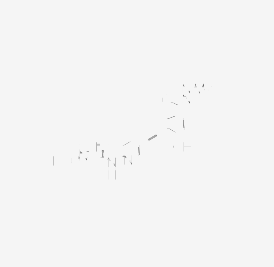 CNNC(=O)c1ccc(C)c(C#Cc2ccc(NC(=O)CN(C)C)nc2)c1